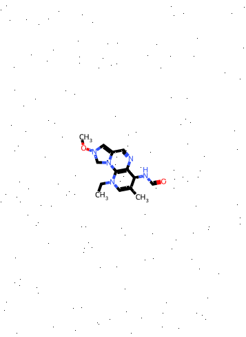 CCN1C=C(C)C(NC=O)C2=C1N1CN(OC)C=C1C=N2